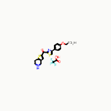 O=C(O)C(F)(F)F.O=C(O)COc1ccc(-c2csc(C(=O)c3cc4c(s3)CCNC4)n2)cc1